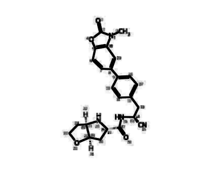 Cn1c(=O)oc2ccc(-c3ccc(C[C@@H](C#N)NC(=O)[C@@H]4C[C@H]5OCC[C@H]5N4)cc3)cc21